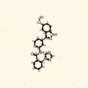 CC(C)Oc1ccc2[nH]nc(-c3ccnc(NC(=O)c4ccccc4-n4cncn4)c3)c2c1